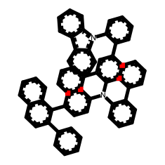 c1ccc(-c2ccccc2N(c2ccc(-c3c(-c4ccccc4)ccc4ccccc34)cc2)c2ccc(-c3ccccc3-n3c4ccccc4c4ccccc43)cc2-c2ccccc2)cc1